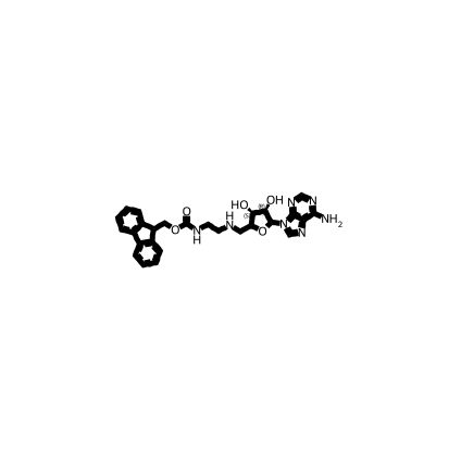 Nc1ncnc2c1ncn2C1OC(CNCCNC(=O)OCC2c3ccccc3-c3ccccc32)[C@@H](O)[C@H]1O